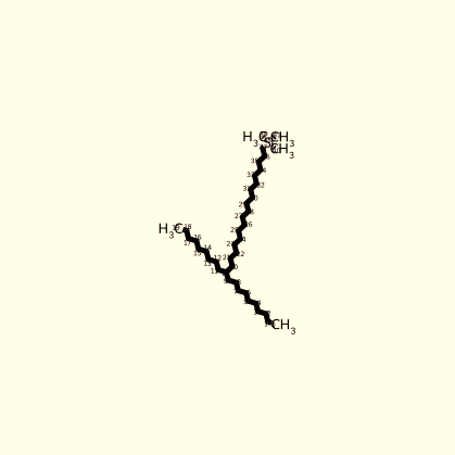 CCCCCCCCCCC(CCCCCCCCC)CCCCCCCCCCCCCCCCCC[Si](C)(C)C